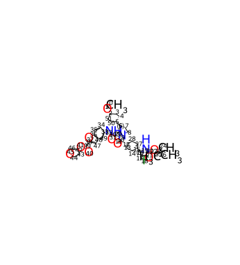 CO[C@H]1CC[C@H]([C@@H]2CCN(C(=O)[C@H]3CC[C@H]([C@@H](CF)NC(=O)OC(C)(C)C)CC3)[C@@H]2C(=O)Nc2ccc3oc(C(=O)OC4CCOC4)cc3c2)CC1